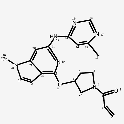 C=CC(=O)N1CCC(Oc2nc(Nc3cc(C)ncn3)cc3c2ccn3C(C)C)C1